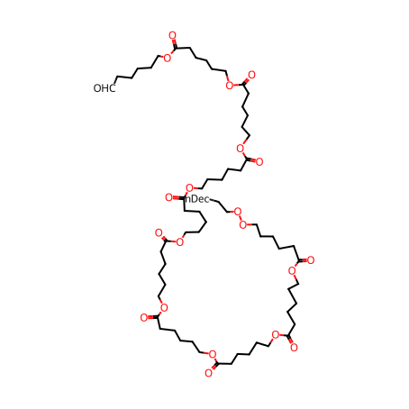 CCCCCCCCCCCCOOCCCCCC(=O)OCCCCCC(=O)OCCCCCC(=O)OCCCCCC(=O)OCCCCCC(=O)OCCCCCC(=O)OCCCCCC(=O)OCCCCCC(=O)OCCCCCC(=O)OCCCCCC=O